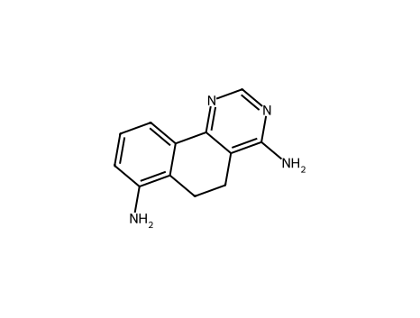 Nc1cccc2c1CCc1c(N)ncnc1-2